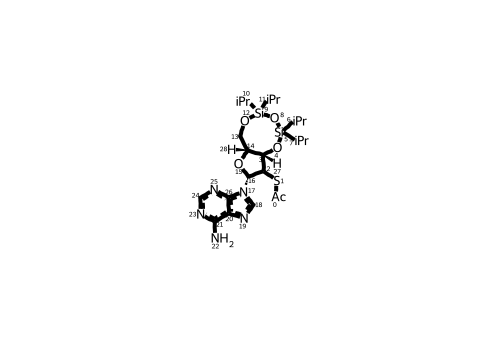 CC(=O)SC1[C@H]2O[Si](C(C)C)(C(C)C)O[Si](C(C)C)(C(C)C)OC[C@H]2O[C@H]1n1cnc2c(N)ncnc21